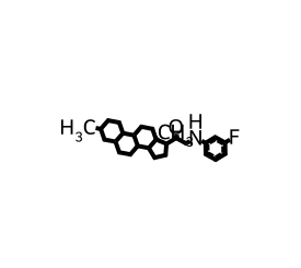 CC1CCC2C(CCC3C2CCC2(C)C(C(=O)CNc4cccc(F)c4)CCC32)C1